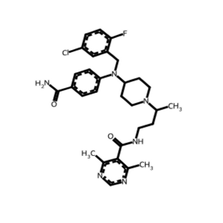 Cc1ncnc(C)c1C(=O)NCCC(C)N1CCC(N(Cc2cc(Cl)ccc2F)c2ccc(C(N)=O)cc2)CC1